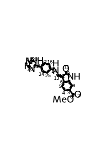 COC(=O)c1ccc2c(c1)NC(=O)/C2=C\Nc1ccc(-c2nnn[nH]2)cc1